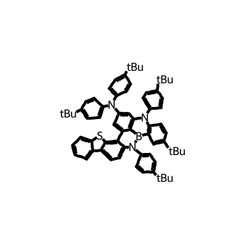 CC(C)(C)c1ccc(N2B3c4cc(C(C)(C)C)ccc4N(c4ccc(C(C)(C)C)cc4)c4cc(N(c5ccc(C(C)(C)C)cc5)c5ccc(C(C)(C)C)cc5)cc(c43)-c3c2ccc2c3sc3ccccc32)cc1